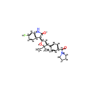 CC1(C)O/C(=C2/C(=O)Nc3cc(F)ccc32)C=C1c1ccc(C(=O)N2CCCC2)cc1